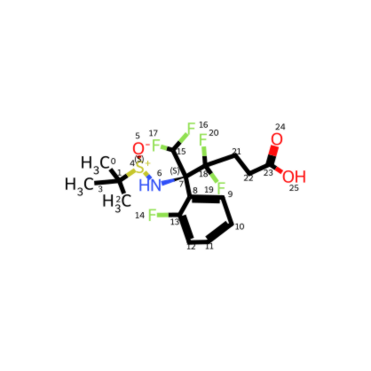 CC(C)(C)[S@@+]([O-])N[C@@](c1ccccc1F)(C(F)F)C(F)(F)CCC(=O)O